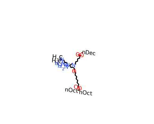 CCCCCCCCCCCOC(=O)CCCCCN1C[C@@H](N(N)/C=C(\N)CN(C)C)CC1COCCCCCCCC(=O)OC(CCCCCCCC)CCCCCCCC